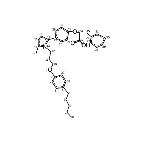 CCCCCc1ccc(OCCCn2c(C)ccc2-c2ccc(O[C@H](Cc3ccccc3)C(=O)O)cc2)cc1